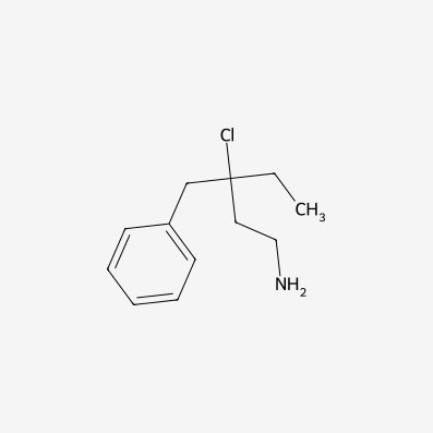 CCC(Cl)(CCN)Cc1ccccc1